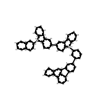 c1cc(-c2ccc3c(c2)-c2cc4ccccc4c4cccc-3c24)cc(-n2c3ccccc3c3cc(-c4ccc5c(c4)c4ccccc4n5-c4ccc5ccccc5c4)ccc32)c1